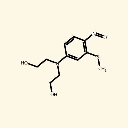 CSc1cc(N(CCO)CCO)ccc1N=O